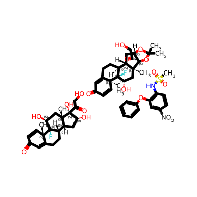 CC1(C)O[C@@H]2C[C@H]3[C@@H]4CCC5=CC(=O)C=C[C@]5(C)[C@@]4(F)[C@@H](O)C[C@]3(C)[C@]2(C(=O)CO)O1.CS(=O)(=O)Nc1ccc([N+](=O)[O-])cc1Oc1ccccc1.C[C@]12C=CC(=O)C=C1CC[C@H]1[C@@H]3C[C@@H](O)[C@](O)(C(=O)CO)[C@@]3(C)C[C@H](O)[C@@]12F